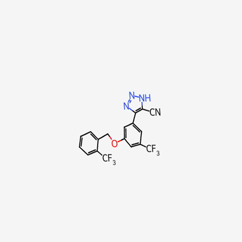 N#Cc1[nH]nnc1-c1cc(OCc2ccccc2C(F)(F)F)cc(C(F)(F)F)c1